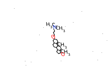 CN(C)CCCCO[C@H]1CC[C@@]2(C)C(CCC3C2CC[C@]2(C)C(=O)CCC32)C1